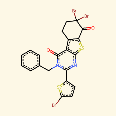 O=C1c2sc3nc(-c4ccc(Br)s4)n(Cc4ccccc4)c(=O)c3c2CCC1(Br)Br